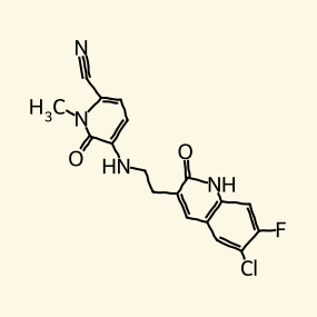 Cn1c(C#N)ccc(NCCc2cc3cc(Cl)c(F)cc3[nH]c2=O)c1=O